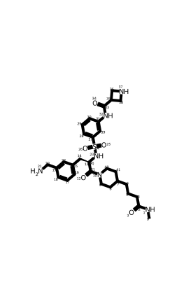 CNC(=O)CCCC1CCN(C(=O)[C@@H](Cc2cccc(CN)c2)NS(=O)(=O)c2cccc(NC(=O)C3CNC3)c2)CC1